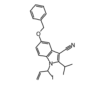 C=CC(I)n1c(C(C)C)c(C#N)c2cc(OCc3ccccc3)ccc21